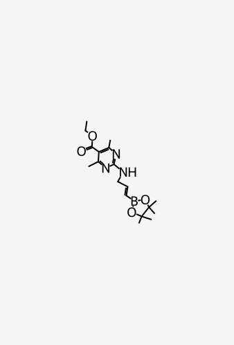 CCOC(=O)c1c(C)nc(NCC=CB2OC(C)(C)C(C)(C)O2)nc1C